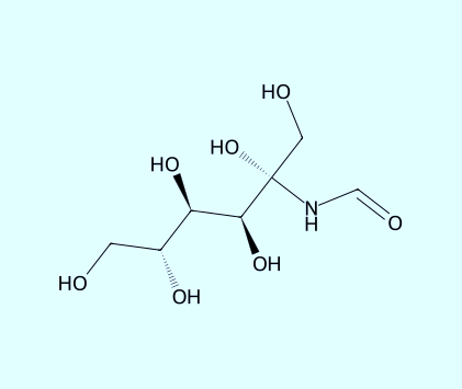 O=CN[C@](O)(CO)[C@@H](O)[C@H](O)[C@H](O)CO